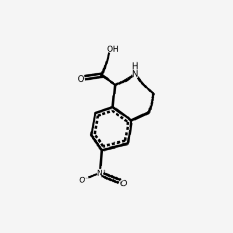 O=C(O)C1NCCc2cc([N+](=O)[O-])ccc21